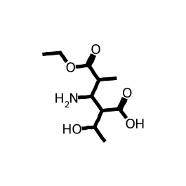 CCOC(=O)C(C)C(N)C(C(=O)O)C(C)O